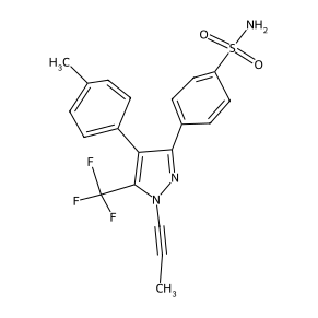 CC#Cn1nc(-c2ccc(S(N)(=O)=O)cc2)c(-c2ccc(C)cc2)c1C(F)(F)F